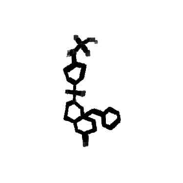 CS(=O)(=O)Nc1ccc(S(=O)(=O)N2CCC3CC(=O)CCC3(Cc3ccccc3)C2)cc1